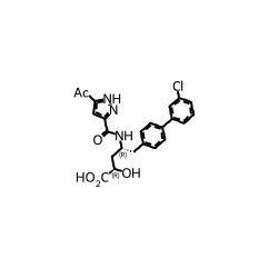 CC(=O)c1cc(C(=O)N[C@H](Cc2ccc(-c3cccc(Cl)c3)cc2)C[C@@H](O)C(=O)O)n[nH]1